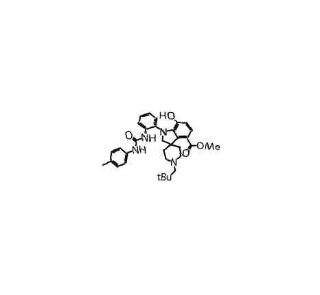 COC(=O)c1ccc(O)c2c1C1(CCN(CC(C)(C)C)CC1)CN2c1ccccc1NC(=O)Nc1ccc(C)cc1